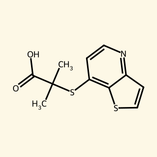 CC(C)(Sc1ccnc2ccsc12)C(=O)O